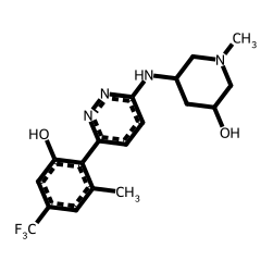 Cc1cc(C(F)(F)F)cc(O)c1-c1ccc(NC2CC(O)CN(C)C2)nn1